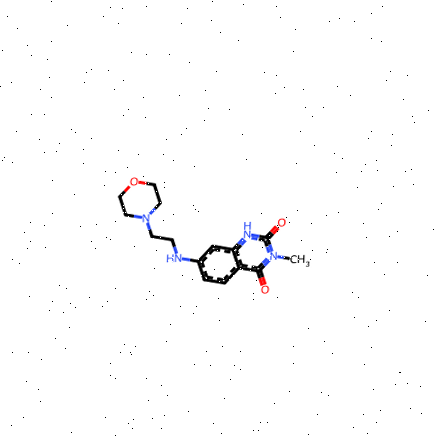 Cn1c(=O)[nH]c2cc(NCCN3CCOCC3)ccc2c1=O